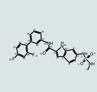 CNS(=O)(=O)Nc1ccc2cc(C(=O)Nc3cccc(-c4ccc(F)cc4F)c3)[nH]c2c1